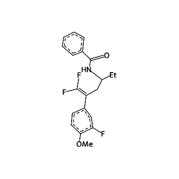 CCC(CC(=C(F)F)c1ccc(OC)c(F)c1)NC(=O)c1ccccc1